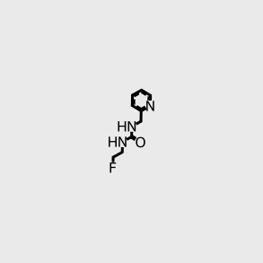 O=C(NCCF)NCc1ccccn1